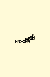 FC(F)Oc1ncccc1Cn1ccc2cnc(Nc3ccc(C4CCNCC4)cc3)nc21